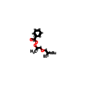 CCCCC(CC)COCC(C)OOC(=O)c1ccccc1